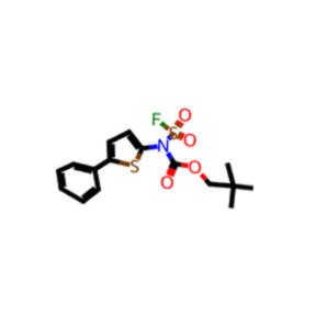 CC(C)(C)COC(=O)N(c1ccc(-c2ccccc2)s1)S(=O)(=O)F